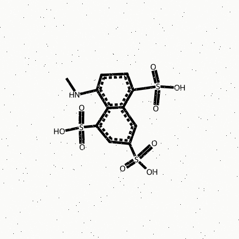 CNc1ccc(S(=O)(=O)O)c2cc(S(=O)(=O)O)cc(S(=O)(=O)O)c12